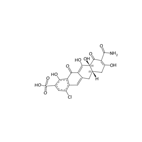 NC(=O)C1=C(O)C[C@@H]2CC3=Cc4c(Cl)cc(S(=O)(=O)O)c(O)c4C(=O)C3=C(O)[C@]2(O)C1=O